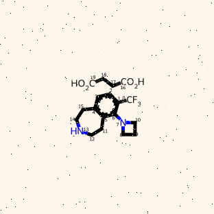 FC(F)(F)c1ccc2c(c1N1CCC1)CCNCC2.O=C(O)CCC(=O)O